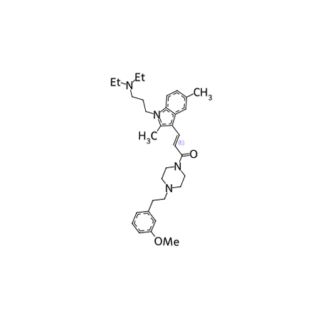 CCN(CC)CCCn1c(C)c(/C=C/C(=O)N2CCN(CCc3cccc(OC)c3)CC2)c2cc(C)ccc21